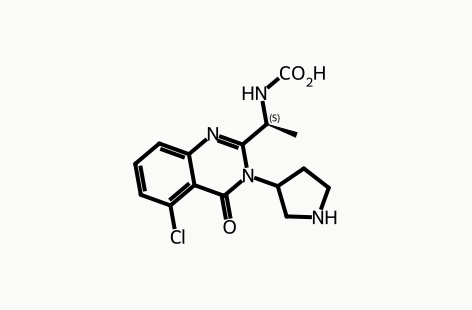 C[C@H](NC(=O)O)c1nc2cccc(Cl)c2c(=O)n1C1CCNC1